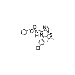 Cc1sc2c(c1C)C(c1ccc(Cl)cc1)=N[C@@H](CNC(=O)OCc1ccccc1)c1ncc(C)n1-2